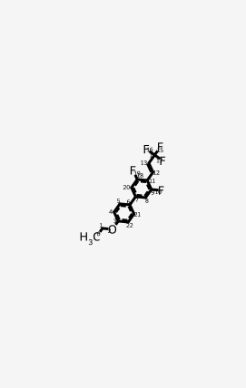 CCOc1ccc(-c2cc(F)c(/C=C/C(F)(F)F)c(F)c2)cc1